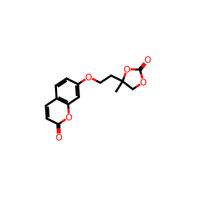 CC1(CCOc2ccc3ccc(=O)oc3c2)COC(=O)O1